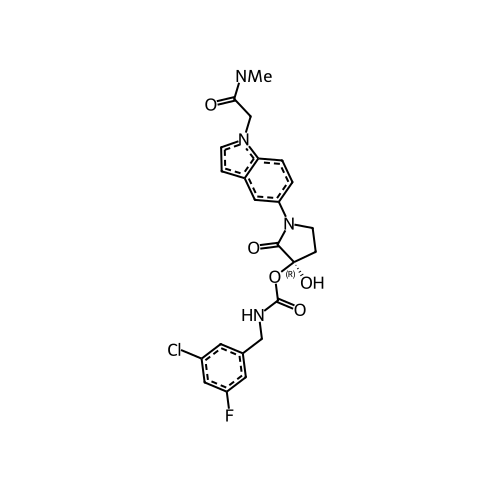 CNC(=O)Cn1ccc2cc(N3CC[C@@](O)(OC(=O)NCc4cc(F)cc(Cl)c4)C3=O)ccc21